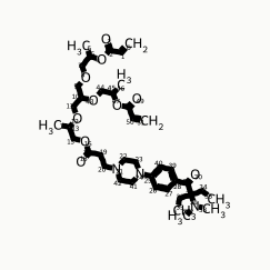 C=CC(=O)OC(C)COCC(COC(C)COC(=O)CCN1CCN(c2ccc(C(=O)C(CC)(CC)N(C)C)cc2)CC1)OCC(C)OC(=O)C=C